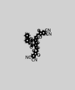 N#Cc1cc2c(cc1C#N)C(=O)C(=Cc1cc3c(s1)c1sc4c5sc(C=C6C(=O)c7cc(C#N)c(C#N)cc7C6=O)cc5n(C(=O)OCc5ccccc5)c4c1n3C(=O)OCc1ccccc1)C2=O